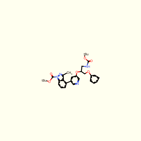 Cc1nn(C(=O)OC(C)(C)C)c2cccc(-c3cncc(OC(CNC(=O)OC(C)(C)C)COc4ccccc4)c3)c12